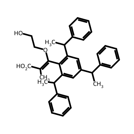 CC(C(=O)O)=C(OCCO)c1c(C(C)c2ccccc2)cc(C(C)c2ccccc2)cc1C(C)c1ccccc1